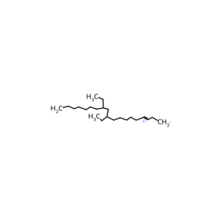 [CH2]C/C=C/CCCCCC(CC)CC(CC)CCCCCC[CH2]